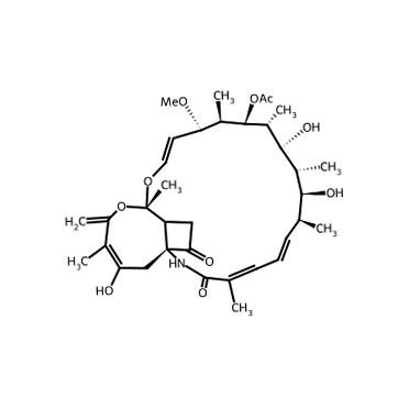 C=C1O[C@]2(C)O/C=C/[C@H](OC)[C@@H](C)[C@@H](OC(C)=O)[C@H](C)[C@H](O)[C@H](C)[C@@H](O)[C@@H](C)/C=C/C=C(/C)C(=O)N[C@@]3(C/C(O)=C\1C)C(=O)CC23